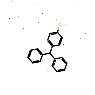 Fc1ccc(C(c2ccccc2)c2ccccc2)cc1